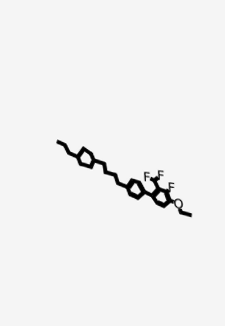 CCCC1CCC(CCCCc2ccc(-c3ccc(OCC)c(F)c3C(F)F)cc2)CC1